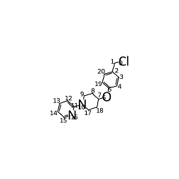 ClCc1ccc(OC2CCN(c3ccccn3)CC2)cc1